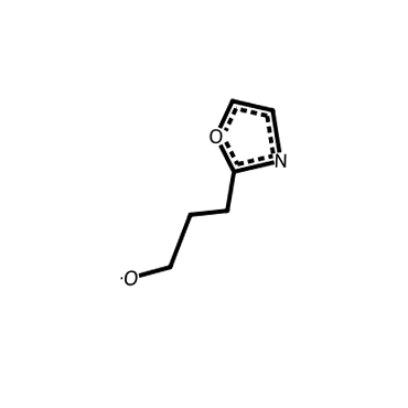 [O]CCCc1ncco1